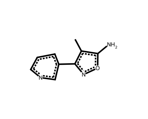 Cc1c(-c2cccnc2)noc1N